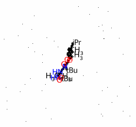 CC(C)CCCCC1CCC2C3CC=C4CC(OC(=O)CCCC(=O)N(CCCCNCCC(C)(C)NC(=O)OC(C)(C)C)CCC(C)(C)C)CCC4(C)C3CCC12C